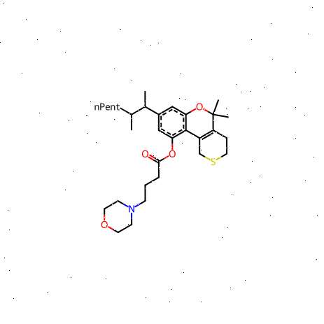 CCCCCC(C)C(C)c1cc(OC(=O)CCCN2CCOCC2)c2c(c1)OC(C)(C)C1=C2CSCC1